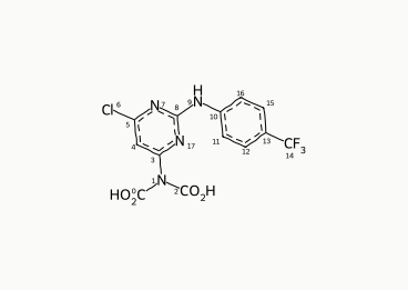 O=C(O)N(C(=O)O)c1cc(Cl)nc(Nc2ccc(C(F)(F)F)cc2)n1